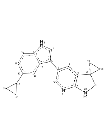 c1nc2c(cc1-c1c[nH]c3ccc(C4CC4)cc13)C1(CC1)CN2